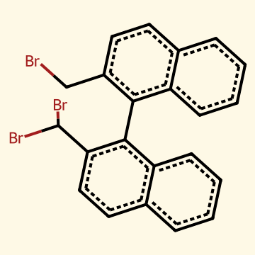 BrCc1ccc2ccccc2c1-c1c(C(Br)Br)ccc2ccccc12